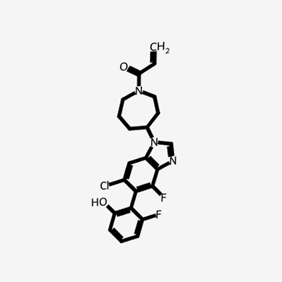 C=CC(=O)N1CCCC(n2cnc3c(F)c(-c4c(O)cccc4F)c(Cl)cc32)CC1